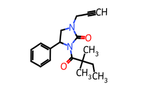 C#CCN1CC(c2ccccc2)N(C(=O)C(C)(C)CC)C1=O